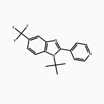 CC(C)(C)n1c(-c2ccncc2)nc2cc(C(F)(F)F)ccc21